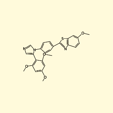 COc1cc(OC)c(-c2cncn2-c2ccc(-c3nc4ccc(OC)cc4s3)cc2)c(OC)c1